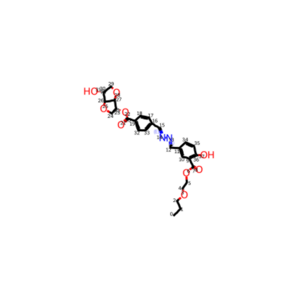 CCCOCCOC(=O)c1cc(/C=N/N=C/c2ccc(C(=O)O[C@@H]3COC4C3OC[C@H]4O)cc2)ccc1O